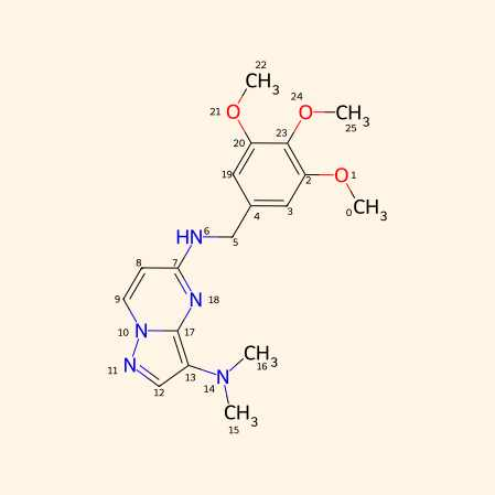 COc1cc(CNc2ccn3ncc(N(C)C)c3n2)cc(OC)c1OC